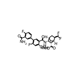 COC(=O)[C@@H]1[C@H](NC(=O)c2cc(-c3ccc(F)c(C(N)=O)c3)c(F)cc2OC)[C@H]2CC(=C(F)F)[C@@H]1C2